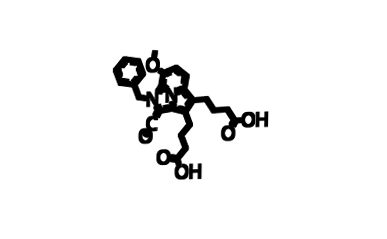 COc1ccc2c(CCCC(=O)O)c(CCCC(=O)O)c3c(=C=O)n(Cc4ccccc4)c1n23